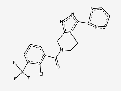 O=C(c1cccc(C(F)(F)F)c1Cl)N1CCn2c(nnc2-c2ncccn2)C1